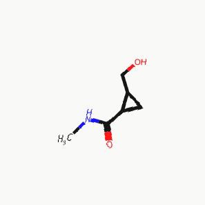 CNC(=O)C1CC1CO